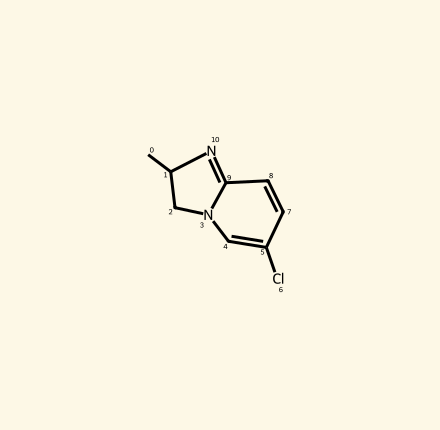 CC1CN2C=C(Cl)C=CC2=N1